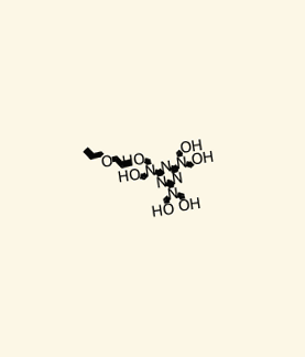 C=CCOCC=C.OCN(CO)c1nc(N(CO)CO)nc(N(CO)CO)n1